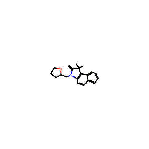 C=C1N(CC2CCCO2)c2ccc3ccccc3c2C1(C)C